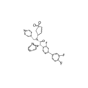 O=C(C(c1ccc(-c2ccc(F)c(F)c2)cc1F)n1cccn1)N(Cc1ccncc1)C1C=CS(=O)(=O)C1